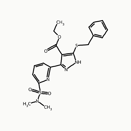 CCOC(=O)c1c(-c2cccc(S(=O)(=O)N(C)C)n2)n[nH]c1SCc1ccccc1